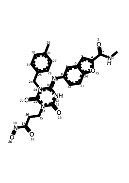 CNC(=O)c1cc2cc(/N=c3\[nH]c(=O)n(CCC(=O)N=O)c(=O)n3Cc3ccc(C)cc3)ccc2o1